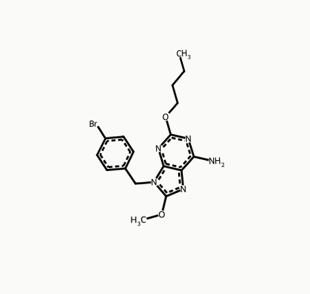 CCCCOc1nc(N)c2nc(OC)n(Cc3ccc(Br)cc3)c2n1